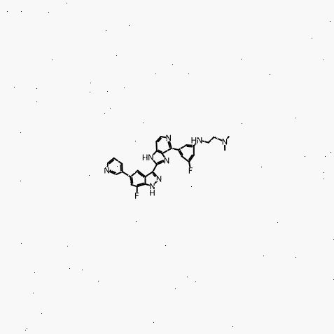 CN(C)CCNc1cc(F)cc(-c2nccc3[nH]c(-c4n[nH]c5c(F)cc(-c6cccnc6)cc45)nc23)c1